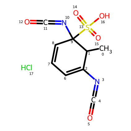 CC1C(N=C=O)=CC=CC1(N=C=O)S(=O)(=O)O.Cl